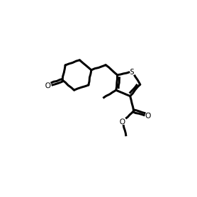 COC(=O)c1csc(CC2CCC(=O)CC2)c1C